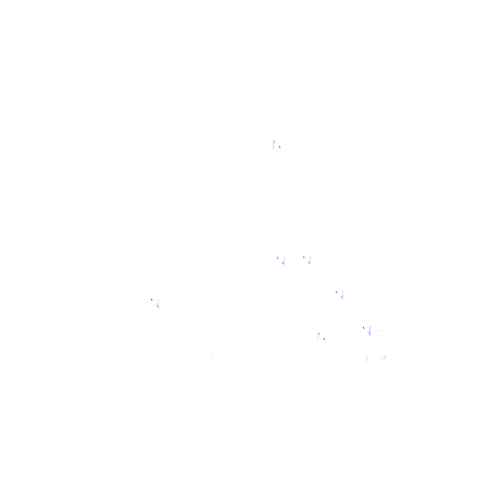 CCCCNc1ncc2c(-c3ccc(CN4CCOCC4)c(F)c3)nn(CC3CCC(N)CC3)c2n1